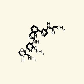 C=CC(=O)Nc1ccnc(-c2cccc3cnc(Nc4ccc([C@H]5OCCNC5CN)nc4OC)nc23)c1